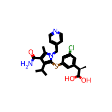 Cc1c(C(N)=O)c(C(C)C)c(Sc2cc(Cl)cc([C@@H](C)C(O)O)c2)n1Cc1ccncc1